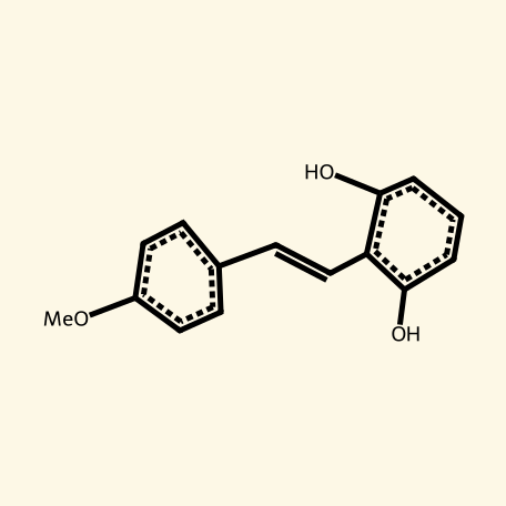 COc1ccc(/C=C/c2c(O)cccc2O)cc1